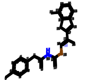 C=C(Cc1ccc(C)cc1)NC(=C)S/C=C(\C)C1=Cc2cccc(C)c2C1